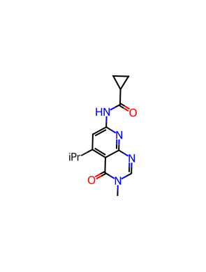 CC(C)c1cc(NC(=O)C2CC2)nc2ncn(C)c(=O)c12